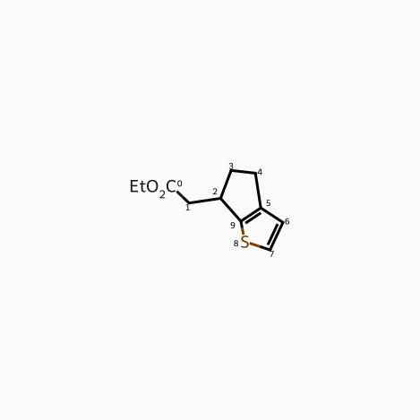 CCOC(=O)CC1CCc2ccsc21